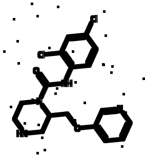 O=C(Nc1ccc(Cl)cc1Cl)N1CCNCC1COc1cccnc1